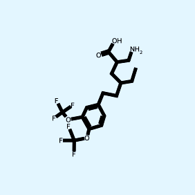 CCC(CCc1ccc(OC(F)(F)F)c(OC(F)(F)F)c1)CC(CN)C(=O)O